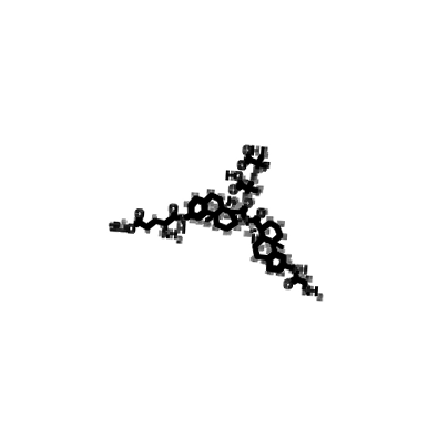 CC(C)(C)OC(=O)CC[C@H](N)C(=O)Nc1ccc2c(c1)[C@@]1(C)CCC[C@](C)(C(=O)NC(=O)[C@@]3(C)CCC[C@]4(C)c5cc(NC(=O)CN)ccc5CC[C@@H]34)[C@@H]1CC2.O=C(O)C(F)(F)F.O=C(O)C(F)(F)F